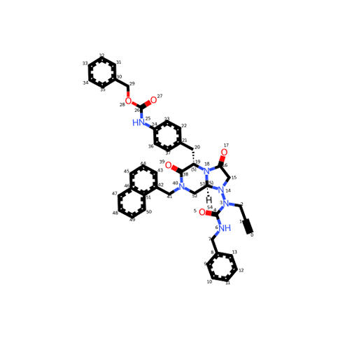 C#CCN(C(=O)NCc1ccccc1)N1CC(=O)N2[C@@H](Cc3ccc(NC(=O)OCc4ccccc4)cc3)C(=O)N(Cc3cccc4ccccc34)C[C@@H]21